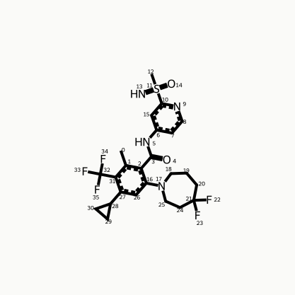 Cc1c(C(=O)Nc2ccnc(S(C)(=N)=O)c2)c(N2CCCC(F)(F)CC2)cc(C2CC2)c1C(F)(F)F